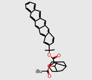 CCC(C)C(=O)OC1C2CC3CC1CC(C2)C3C(=O)OC(C)(C)c1ccc2cc3cc4cc5ccccc5cc4cc3cc2c1